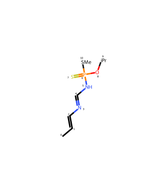 CC=CN=CNP(=S)(OC(C)C)SC